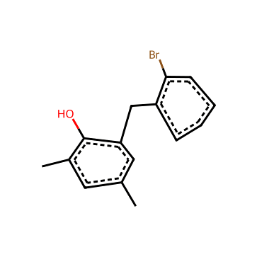 Cc1cc(C)c(O)c(Cc2ccccc2Br)c1